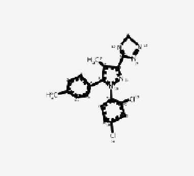 Cc1ccc(-c2c(C)c(C3=NCN=N3)nn2-c2ccc(Cl)cc2Cl)cc1